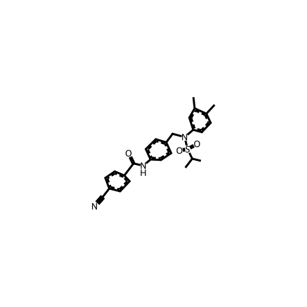 Cc1ccc(N(Cc2ccc(NC(=O)c3ccc(C#N)cc3)cc2)S(=O)(=O)C(C)C)cc1C